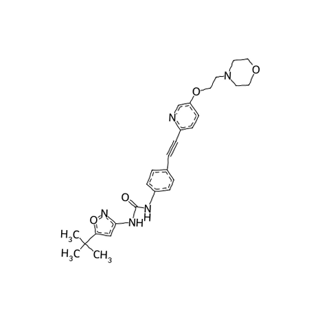 CC(C)(C)c1cc(NC(=O)Nc2ccc(C#Cc3ccc(OCCN4CCOCC4)cn3)cc2)no1